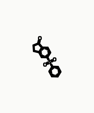 O=C1CCc2cc(S(=O)(=O)c3ccccc3)ccc21